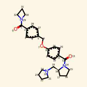 O=C(c1ccc(COc2ccc(C(=O)N3CCC[C@H]3CN3CCCC3)cc2)cc1)N1CCC1